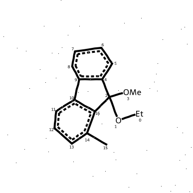 CCOC1(OC)c2ccccc2-c2cccc(C)c21